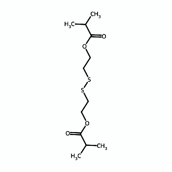 CC(C)C(=O)OCCSSCCOC(=O)C(C)C